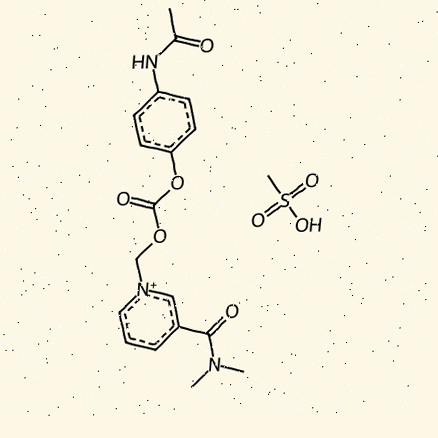 CC(=O)Nc1ccc(OC(=O)OC[n+]2cccc(C(=O)N(C)C)c2)cc1.CS(=O)(=O)O